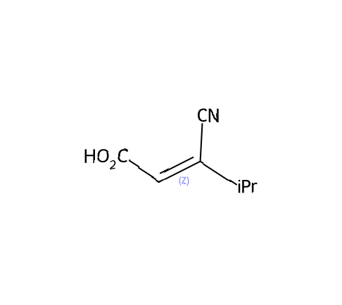 CC(C)/C(C#N)=C/C(=O)O